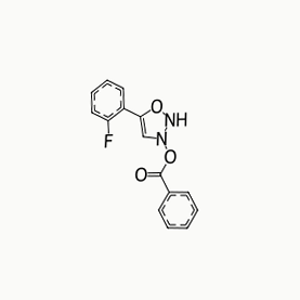 O=C(ON1C=C(c2ccccc2F)ON1)c1ccccc1